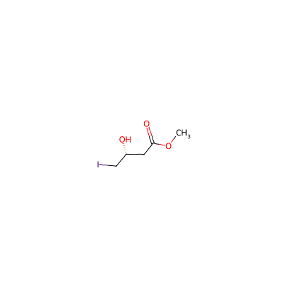 COC(=O)C[C@@H](O)CI